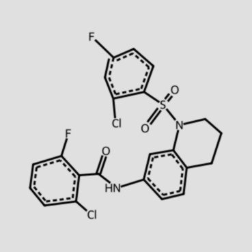 O=C(Nc1ccc2c(c1)N(S(=O)(=O)c1ccc(F)cc1Cl)CCC2)c1c(F)cccc1Cl